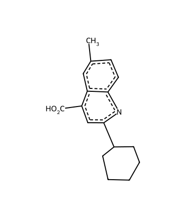 Cc1ccc2nc(C3CCCCC3)cc(C(=O)O)c2c1